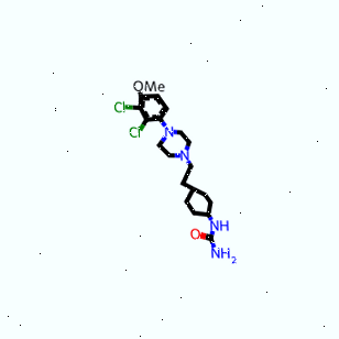 COc1ccc(N2CCN(CCC3CCC(NC(N)=O)CC3)CC2)c(Cl)c1Cl